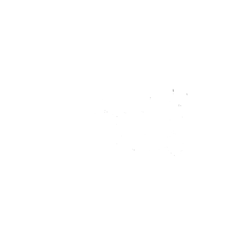 O=C(Cc1cccc(N2C=C(Nc3ccc(C(=O)N4CCOCC4)cn3)C3=NC=C[N+]3C2)c1)NC1CC1